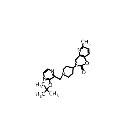 Cc1ccc2c(n1)CN(C1CCN(Cc3nccnc3OC(C)(C)C)CC1)C(=O)O2